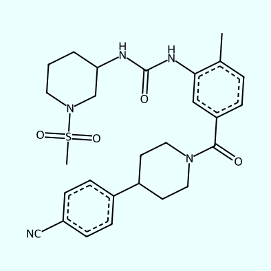 Cc1ccc(C(=O)N2CCC(c3ccc(C#N)cc3)CC2)cc1NC(=O)NC1CCCN(S(C)(=O)=O)C1